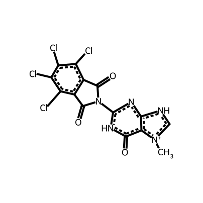 C[n+]1c[nH]c2nc(N3C(=O)c4c(Cl)c(Cl)c(Cl)c(Cl)c4C3=O)[nH]c(=O)c21